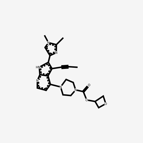 CC#Cc1c(-c2cn(C)c(C)n2)[nH]c2nccc(N3CCN(C(=O)OC4COC4)CC3)c12